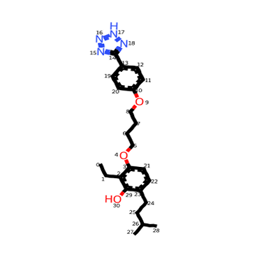 CCc1c(OCCCCOc2ccc(-c3nn[nH]n3)cc2)ccc(CCC(C)C)c1O